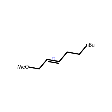 [CH2]OC/C=C/CCCCCC